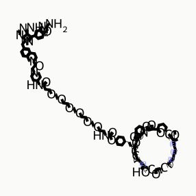 CO[C@H]1CC2CCCC(O2)C(=O)C(=O)N2CCCC[C@H]2C(=O)O[C@H](CC[C@H]2CC[C@H](OC(=O)NCCOCCOCCOCCOCCOCCOCCC(=O)NC3CCN(CC(=O)N4CCc5cc(Cn6nc(-c7ccc8oc(N)nc8c7)c7c(N)ncnc76)ccc5C4)CC3)CC2)CC[C@H](C)/C=C(\C)[C@@H](O)CC(=O)[C@H](C)C[C@H](C)/C=C/C=C/C=C/1C